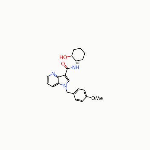 COc1ccc(Cn2cc(C(=O)N[C@H]3CCCCC3O)c3ncccc32)cc1